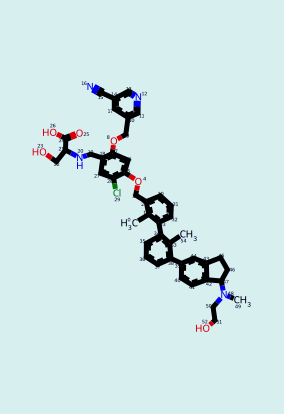 Cc1c(COc2cc(OCc3cncc(C#N)c3)c(CNC(CO)C(=O)O)cc2Cl)cccc1-c1cccc(-c2ccc3c(c2)CCC3N(C)CCO)c1C